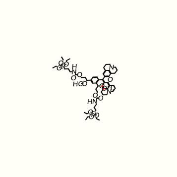 CCO[Si](CCCNC(=O)OCCC(OO)c1ccc(C2=c3cc4c5c(c3Oc3c2cc2c6c3CCCN6CCC2)CCC[N+]=5CCC4)c(C(CCOC(=O)NCCC[Si](OCC)(OCC)OCC)OO)c1)(OCC)OCC